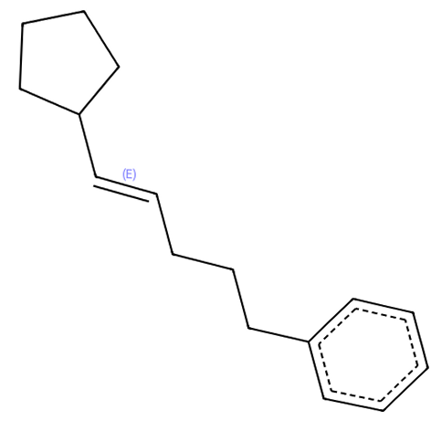 C(=C\C1CCCC1)/CCCc1ccccc1